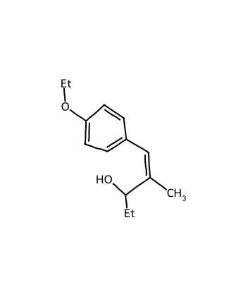 CCOc1ccc(C=C(C)C(O)CC)cc1